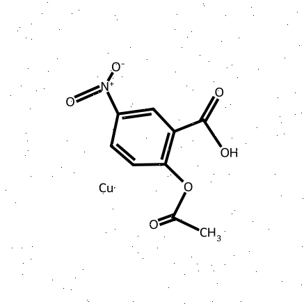 CC(=O)Oc1ccc([N+](=O)[O-])cc1C(=O)O.[Cu]